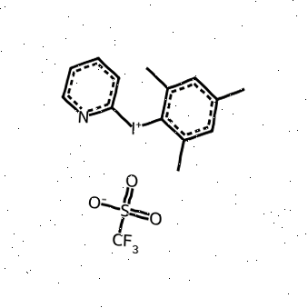 Cc1cc(C)c([I+]c2ccccn2)c(C)c1.O=S(=O)([O-])C(F)(F)F